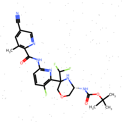 Cc1cc(C#N)cnc1C(=O)Nc1ccc(F)c(C2(C(F)F)COC[C@@H](NC(=O)OC(C)(C)C)N2)n1